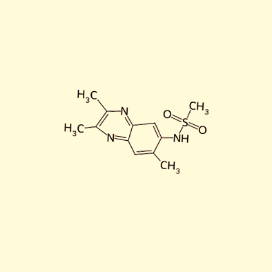 Cc1cc2nc(C)c(C)nc2cc1NS(C)(=O)=O